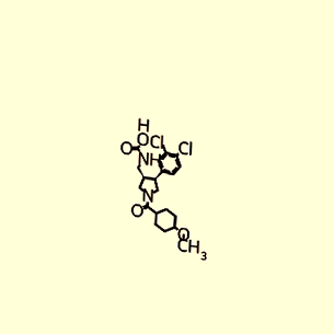 COC1CCC(C(=O)N2C[C@@H](CNC(=O)O)[C@@H](c3ccc(Cl)c(Cl)c3)C2)CC1